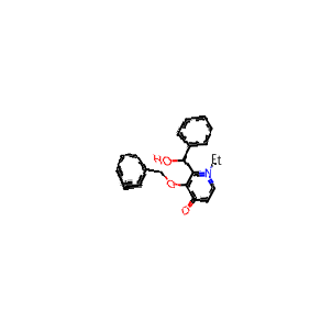 [CH2]Cn1ccc(=O)c(OCc2ccccc2)c1C(O)c1ccccc1